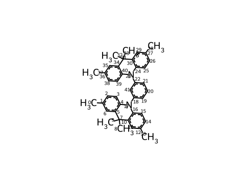 Cc1ccc2c(c1)C(C)(C)c1cc(C)ccc1N2c1cccc(N2c3ccc(C)cc3C(C)(C)c3cc(C)ccc32)c1